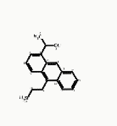 CC(O)c1cccc2c(CC[SiH3])c3ccccc3cc12